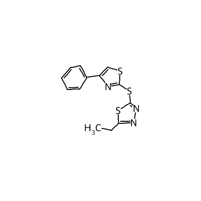 CCc1nnc(Sc2nc(-c3ccccc3)cs2)s1